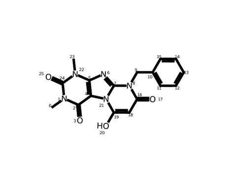 Cn1c(=O)c2c(nc3n(Cc4ccccc4)c(=O)cc(O)n23)n(C)c1=O